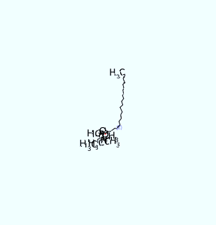 CCCCCCCCCCCCCCCCC/C=C\CCCOP(=O)(O)C(CCC)[N+](C)(C)C